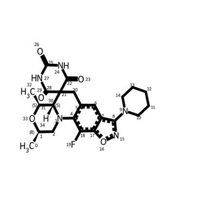 C[C@@H]1CN2c3c(cc4c(N5CCCCC5)noc4c3F)CC3(C(=O)NC(=O)NC3=O)[C@H]2[C@H](C)O1